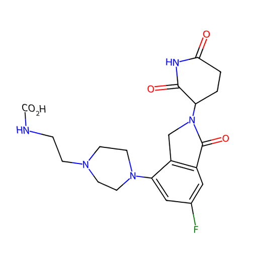 O=C(O)NCCN1CCN(c2cc(F)cc3c2CN(C2CCC(=O)NC2=O)C3=O)CC1